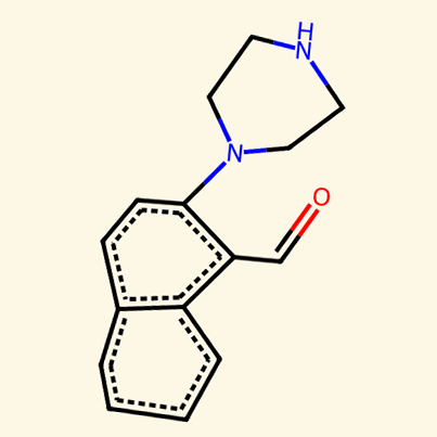 O=Cc1c(N2CCNCC2)ccc2ccccc12